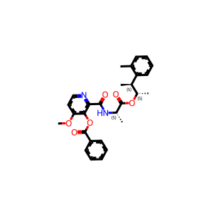 COc1ccnc(C(=O)N[C@@H](C)C(=O)O[C@@H](C)[C@@H](C)c2ccccc2C)c1OC(=O)c1ccccc1